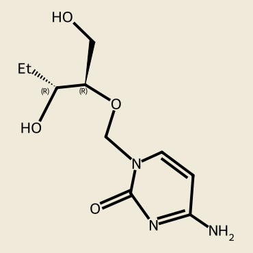 CC[C@@H](O)[C@@H](CO)OCn1ccc(N)nc1=O